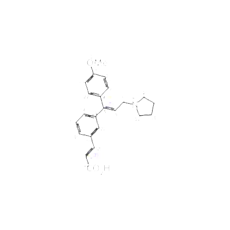 COc1ccc(/C(=C\CN2CCCC2)c2cccc(/C=C/C(=O)O)c2)cc1